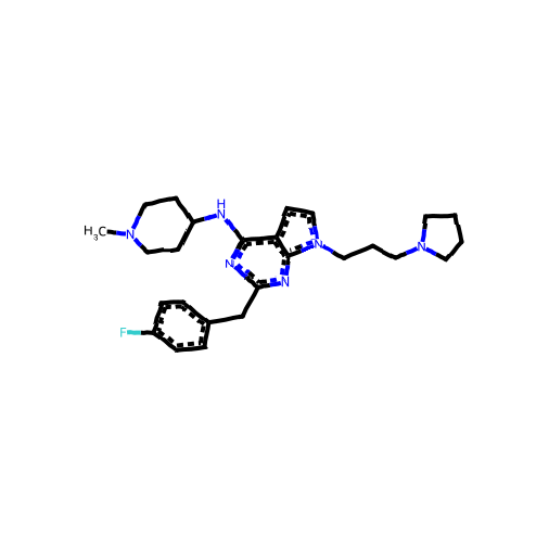 CN1CCC(Nc2nc(Cc3ccc(F)cc3)nc3c2ccn3CCCN2CCCC2)CC1